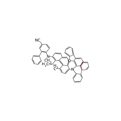 C=Cc1c(N(C)c2ccc(C#N)cc2-c2ccccc2)ccc2ccc3c(N(c4ccccc4-c4ccccc4)c4cccc5c4oc4ccccc45)ccc(C)c3c12